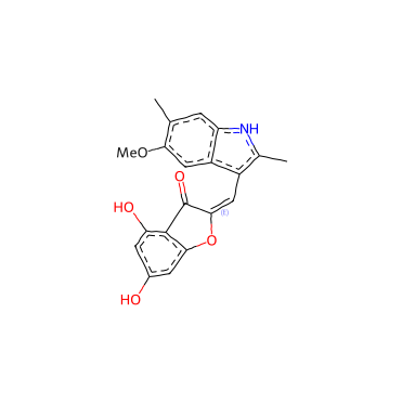 COc1cc2c(/C=C3/Oc4cc(O)cc(O)c4C3=O)c(C)[nH]c2cc1C